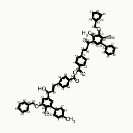 Cc1ccc(-c2cc(C(O)C=Cc3ccc(C(=O)OC(=O)c4ccc(C=CC(=O)c5cc(-c6ccccc6)c(C(C)(C)C)c(OCc6ccccc6)c5C)cc4)cc3)cc(OCc3ccccc3)c2C(C)(C)C)cc1